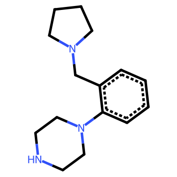 c1ccc(N2CCNCC2)c(CN2CCCC2)c1